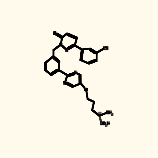 N#Cc1cccc(-c2ccc(=O)n(Cc3cccc(-c4ncc(OCCC[C@H](N)C(=O)O)cn4)c3)n2)c1